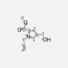 C#CCn1cc(CO)cc1C(=O)OC